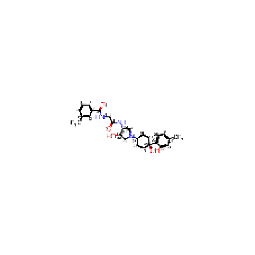 O=C(CNC(=O)c1cccc(C(F)(F)F)c1)N[C@H]1CN(C2CCC(O)(c3ccc(C(F)(F)F)cc3)CC2)C[C@@H]1O